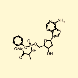 COC(=O)[C@H](C)NP(=O)(OC[C@H]1O[C@@H](n2cnc3c(N)ncnc32)C[C@H]1O)Oc1ccccc1